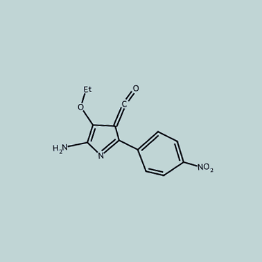 CCOC1=C(N)N=C(c2ccc([N+](=O)[O-])cc2)C1=C=O